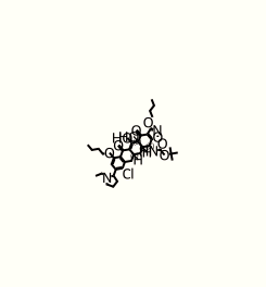 CCCCOc1cc(C2CCCN2CC)c(Cl)c2c1C(=O)C1=C(O)[C@]3(O)C(=O)c4c(OCCCC)noc4[C@@H](NC(=O)OC(C)(C)C)[C@@H]3C[C@@H]1C2